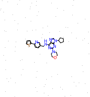 c1csc(-c2ccc(CNc3nc(N4CCOCC4)nc4c3ncn4C3CCCC3)cn2)c1